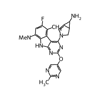 CNc1cc(F)c(C)c2c1[nH]c1nc(Oc3cnc(C)nc3)nc(N3C=C4C(N)C4C3)c12